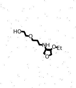 CCOC1=C(NCCCOCCO)COC1